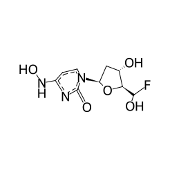 O=c1nc(NO)ccn1[C@H]1C[C@H](O)[C@@H](C(O)F)O1